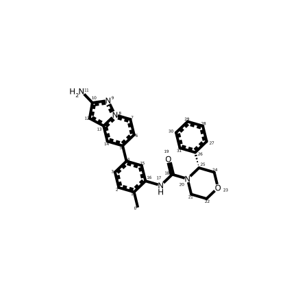 Cc1ccc(-c2ccn3nc(N)cc3c2)cc1NC(=O)N1CCOC[C@H]1c1ccccc1